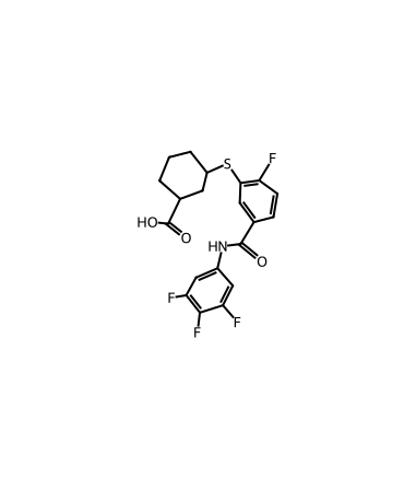 O=C(Nc1cc(F)c(F)c(F)c1)c1ccc(F)c(SC2CCCC(C(=O)O)C2)c1